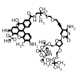 Cc1c(N)ccc2c(-c3ccc(C(=O)NCC(C)(C)SSCOCC#Cc4cn([C@H]5C[C@@H](OCSSC(C)(C)C)[C@@H](COP(=O)(O)OP(=O)(O)OP(=O)(O)O)O5)c(=O)nc4N)cc3C(=O)O)c3ccc(=N)c(S(=O)(=O)O)c-3oc12